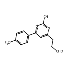 N#Cc1nc(CCC=O)cc(-c2ccc(C(F)(F)F)cc2)n1